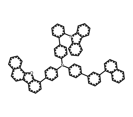 c1cc(-c2ccc(N(c3ccc(-c4ccccc4-n4c5ccccc5c5ccccc54)cc3)c3ccc(-c4cccc5c4oc4c6ccccc6ccc54)cc3)cc2)cc(-c2cccc3ccccc23)c1